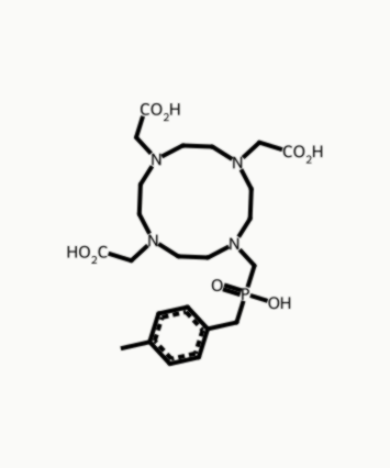 Cc1ccc(CP(=O)(O)CN2CCN(CC(=O)O)CCN(CC(=O)O)CCN(CC(=O)O)CC2)cc1